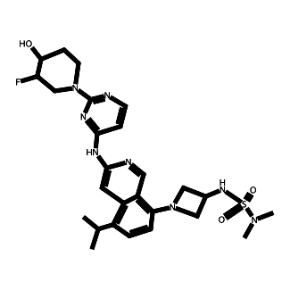 CC(C)c1ccc(N2CC(NS(=O)(=O)N(C)C)C2)c2cnc(Nc3ccnc(N4CCC(O)C(F)C4)n3)cc12